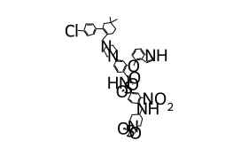 CC1(C)CCC(CN2CCN(c3ccc(C(=O)NS(=O)(=O)c4ccc(NC5CCN(S(C)(=O)=O)CC5)c([N+](=O)[O-])c4)c(Oc4cccc5[nH]ccc45)c3)CC2)=C(c2ccc(Cl)cc2)C1